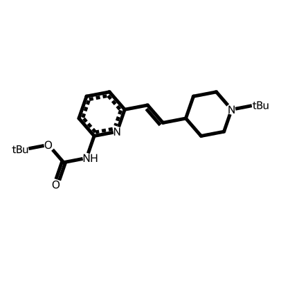 CC(C)(C)OC(=O)Nc1cccc(C=CC2CCN(C(C)(C)C)CC2)n1